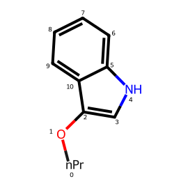 [CH2]CCOc1c[nH]c2ccccc12